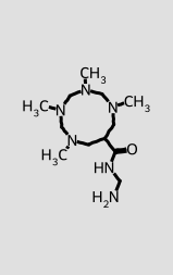 CN1CC(C(=O)NCN)CN(C)CN(C)CN(C)C1